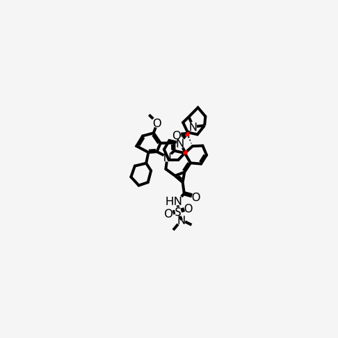 COc1ccc(C2CCCCC2)c2c1cc1n2CC2=C(C(=O)NS(=O)(=O)N(C)C)C2=C2C=CC[C@@H](C(=O)N3C4CCC3CC(N3CCCCC3)C4)C21